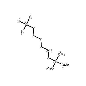 CC[Si](CC)(CC)CCCCNC[Si](OC)(OC)OC